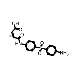 Nc1ccc(S(=O)(=O)c2ccc(NC(=O)/C=C\C(=O)O)cc2)cc1